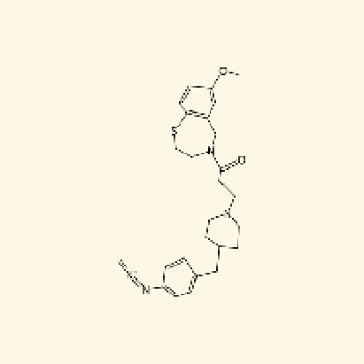 C=[N+]=Nc1ccc(CC2CCN(CCC(=O)N3CCSc4ccc(OC)cc4C3)CC2)cc1